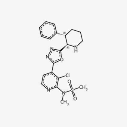 CN(c1n[c]cc(-c2nnc([C@@H]3NCCC[C@H]3c3ccccc3)o2)c1Cl)S(C)(=O)=O